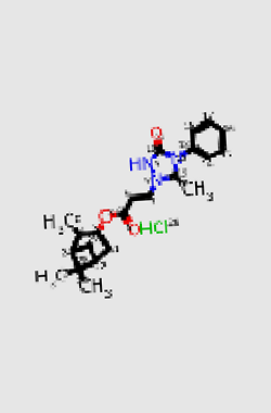 CC1C(OC(=O)CCN2NC(=O)N(c3ccccc3)C2C)CC2CC1C2(C)C.Cl